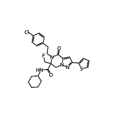 O=C1c2cc(-c3cccs3)nn2CC(CF)(C(=O)NC2CCCCC2)N1CCc1ccc(Cl)cc1